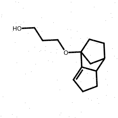 OCCCOC12CCC(C1)C1CCC=C12